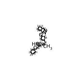 C[C@@H](Cc1ccc(Oc2nncc3ccccc23)cc1)NC[C@H](O)COc1ccccc1